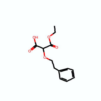 CCOC(=O)C(OCCc1ccccc1)C(=O)O